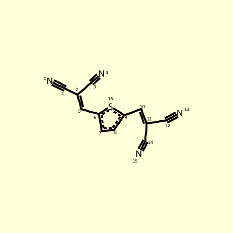 N#CC(C#N)=Cc1ccc(C=C(C#N)C#N)s1